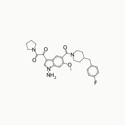 COc1cc2c(cc1C(=O)N1CCC(Cc3ccc(F)cc3)CC1)c(C(=O)C(=O)N1CCCC1)cn2N